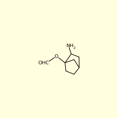 NC1CC2CCC1(OC=O)C2